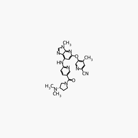 Cc1cc(C#N)ncc1Oc1cc(Nc2ccc(C(=O)N3CC[C@H](N(C)C)C3)cn2)c2ncn(C)c2n1